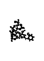 COC(=O)C1(SCCc2ccccc2I)C[C@H](OC(C)=O)[C@@H](NC(C)=O)[C@H](C(OC(C)=O)C(COC(C)=O)OC(C)=O)O1